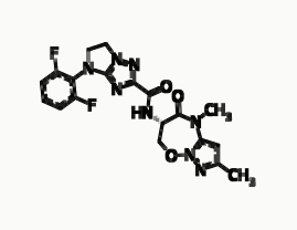 Cc1cc2n(n1)OC[C@H](NC(=O)c1nc3n(n1)CCN3c1c(F)cccc1F)C(=O)N2C